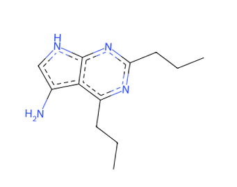 CCCc1nc(CCC)c2c(N)c[nH]c2n1